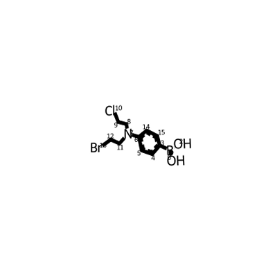 OB(O)c1ccc(N(CCCl)CCBr)cc1